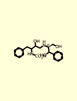 O=C(O)NC(Cc1ccccc1)C(O)CN[C@@H](CO)C(O)c1ccccc1